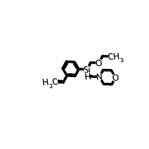 C=Cc1cccc([SiH](COCC)CN2CCOCC2)c1